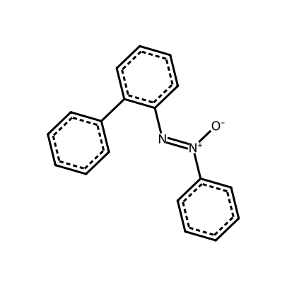 [O-][N+](=Nc1ccccc1-c1ccccc1)c1ccccc1